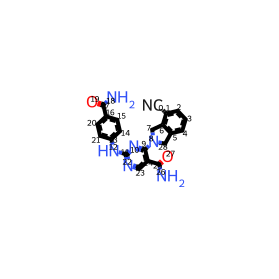 N#Cc1cccc2c1CN(c1nc(Nc3ccc(C(N)=O)cc3)ncc1C(N)=O)C2